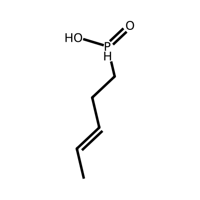 CC=CCC[PH](=O)O